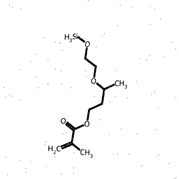 C=C(C)C(=O)OCCC(C)OCCO[SiH3]